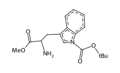 COC(=O)C(N)Cc1cn(C(=O)OC(C)(C)C)c2ccccc12